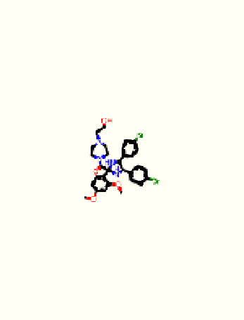 COc1ccc(C2(C(=O)N3CCN(CCO)CC3)NC(c3ccc(Br)cc3)C(c3ccc(Br)cc3)N2)c(OC)c1